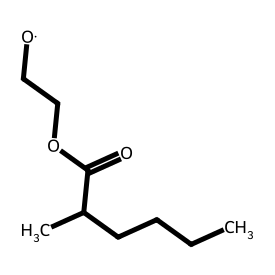 CCCCC(C)C(=O)OCC[O]